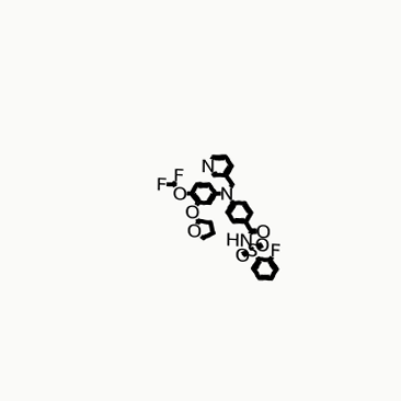 O=C(NS(=O)(=O)c1ccccc1F)c1ccc(N(Cc2cccnc2)c2ccc(OC(F)F)c(OC3CCCO3)c2)cc1